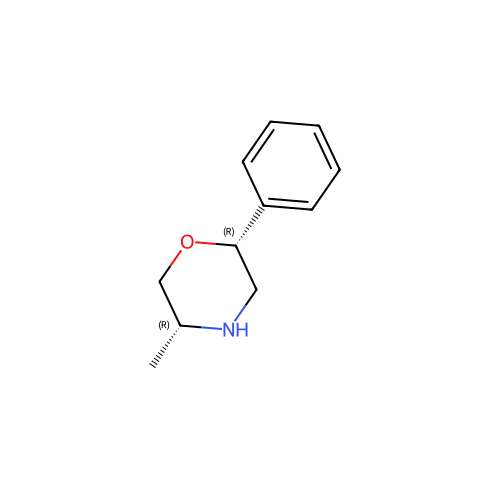 C[C@@H]1CO[C@H](c2ccccc2)CN1